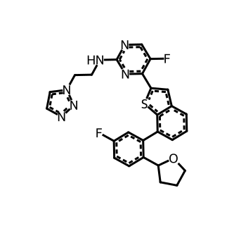 Fc1ccc(C2CCCO2)c(-c2cccc3cc(-c4nc(NCCn5ccnn5)ncc4F)sc23)c1